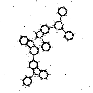 c1ccc(-c2nc(-c3ccccc3)nc(-c3ccc4nc(-n5c6ccccc6c6cc(-c7ccc8c(c7)c7ccccc7n8-c7ccccc7)ccc65)n(-c5ccccc5)c4c3)n2)cc1